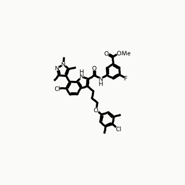 COC(=O)c1cc(F)cc(NC(=O)c2[nH]c3c(-c4c(C)nn(C)c4C)c(Cl)ccc3c2CCCOc2cc(C)c(Cl)c(C)c2)c1